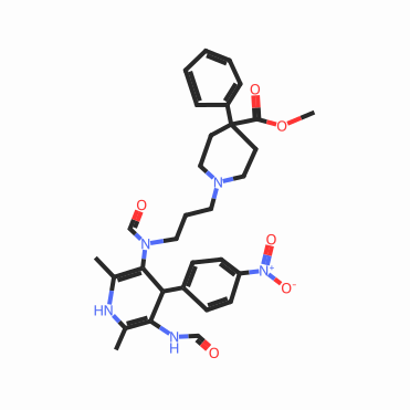 COC(=O)C1(c2ccccc2)CCN(CCCN(C=O)C2=C(C)NC(C)=C(NC=O)C2c2ccc([N+](=O)[O-])cc2)CC1